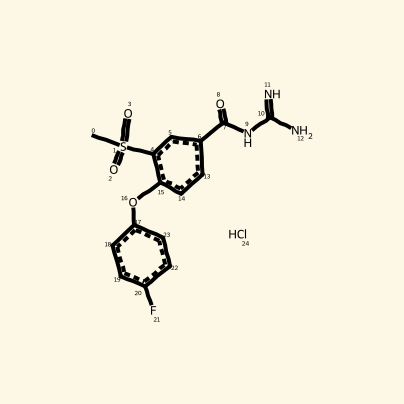 CS(=O)(=O)c1cc(C(=O)NC(=N)N)ccc1Oc1ccc(F)cc1.Cl